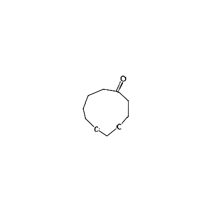 O=C1CCCC[CH]CCCC1